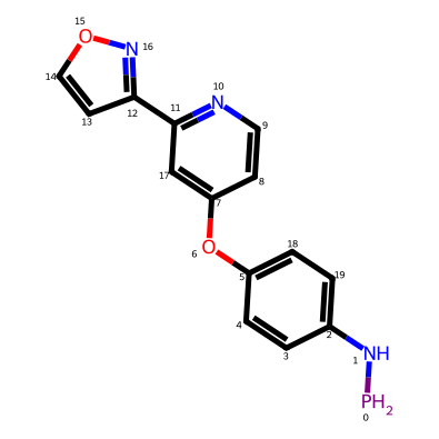 PNc1ccc(Oc2ccnc(-c3ccon3)c2)cc1